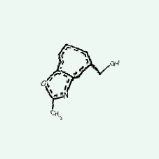 Cc1nc2c(CO)cccc2o1